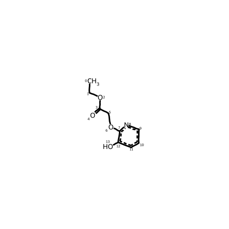 CCOC(=O)COc1ncccc1O